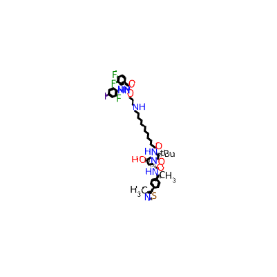 Cc1ncsc1-c1ccc([C@H](C)NC(=O)[C@@H]2C[C@@H](O)CN2C(=O)[C@@H](NC(=O)CCCCCCCCCCCNCCCONC(=O)c2ccc(F)c(F)c2Nc2ccc(I)cc2F)C(C)(C)C)cc1